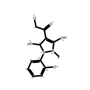 CC(=O)OC1=C(C(=O)CCl)C(O)N(c2ccccc2Cl)N1C